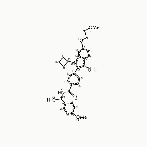 COCCOc1ccc2c(N)c(-c3ccc(C(=O)N[C@H](C)c4ccc(OC)cc4)cc3)n(C3CCC3)c2c1